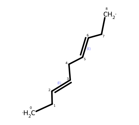 [CH2]C/C=C/C/C=C/C[CH2]